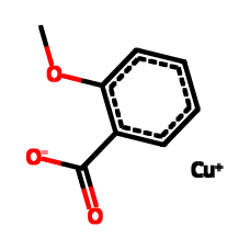 COc1ccccc1C(=O)[O-].[Cu+]